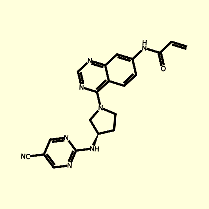 C=CC(=O)Nc1ccc2c(N3CC[C@@H](Nc4ncc(C#N)cn4)C3)ncnc2c1